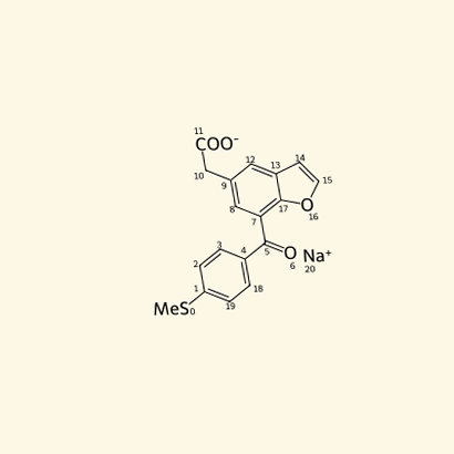 CSc1ccc(C(=O)c2cc(CC(=O)[O-])cc3ccoc23)cc1.[Na+]